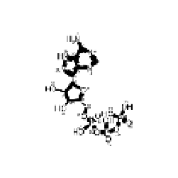 Nc1ncnc2c([C@@H]3O[C@H](COP(=O)(O)OP(=O)(O)OP(=O)(O)O)[C@@H](O)[C@H]3O)n[nH]c12